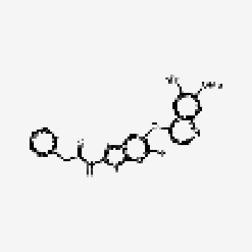 CCCc1cc2c(Oc3cc4sc(NC(=O)Cc5ccccc5)nc4cc3F)ccnc2cc1OC